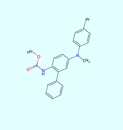 CCCOC(=O)Nc1ccc(N(C)c2ccc(C(C)C)cc2)cc1-c1ccccc1